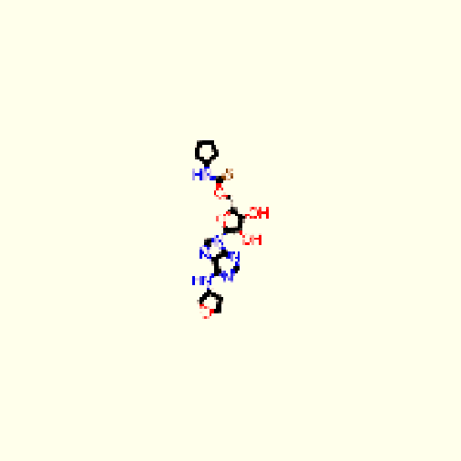 O[C@@H]1[C@H](O)[C@@H](COC(=S)NC2CCCC2)O[C@H]1n1cnc2c(N[C@@H]3CCOC3)ncnc21